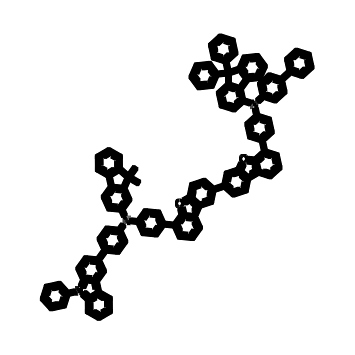 CC1(C)c2ccccc2-c2ccc(N(c3ccc(-c4ccc5c(c4)c4ccccc4n5-c4ccccc4)cc3)c3ccc(-c4cccc5c4oc4ccc(-c6ccc7c(c6)oc6c(-c8ccc(N(c9ccc(-c%10ccccc%10)cc9)c9cccc%10c9-c9ccccc9C%10(c9ccccc9)c9ccccc9)cc8)cccc67)cc45)cc3)cc21